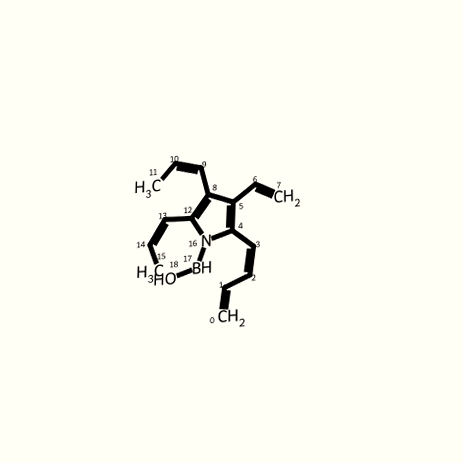 C=C/C=C\c1c(C=C)c(/C=C\C)c(/C=C\C)n1BO